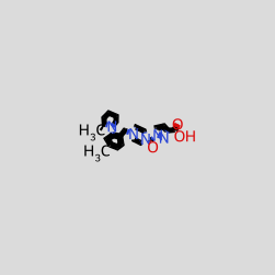 Cc1ccc(CN2CCN(C(=O)n3ccc(C(=O)O)n3)CC2)c(N2CCCC[C@@H]2C)c1